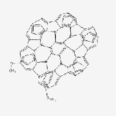 COc1ccc2c(c1)c1cc(OC)ccc1n2-c1c(-n2c3ccccc3c3ccccc32)c(-n2c3ccccc3c3ccccc32)c(B2c3ccccc3-c3ccccc32)c(-n2c3ccccc3c3ccccc32)c1-n1c2ccccc2c2ccccc21